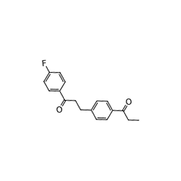 CCC(=O)c1ccc(CCC(=O)c2ccc(F)cc2)cc1